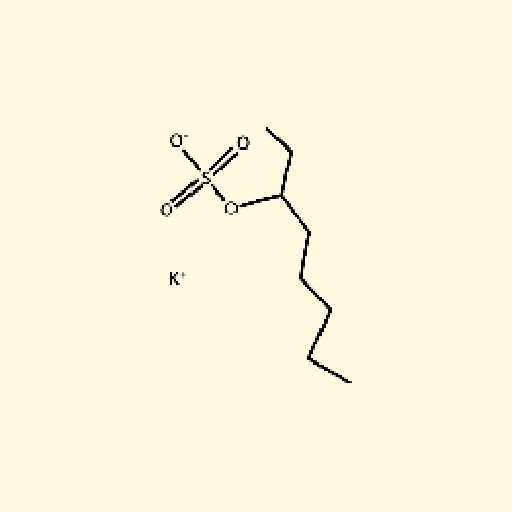 CCCCCC(CC)OS(=O)(=O)[O-].[K+]